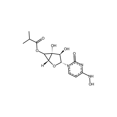 CC(C)C(=O)OC1[C@H]2O[C@@H](n3ccc(NO)nc3=O)[C@H](O)[C@]12O